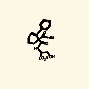 CCCCC(=O)C1(C(=O)NC(CO)C(=O)O)CC=CC=C1c1ccccc1